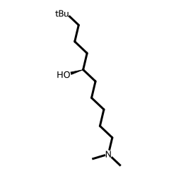 CN(C)CCCCC[C@@H](O)CCCC(C)(C)C